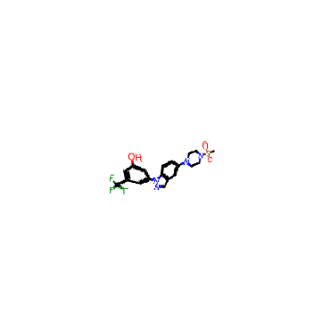 CS(=O)(=O)N1CCN(c2ccc3c(cnn3-c3cc(O)cc(C(F)(F)F)c3)c2)CC1